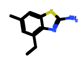 CCc1cc(C)cc2sc(N)nc12